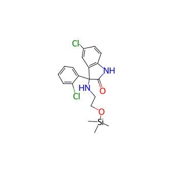 C[Si](C)(C)OCCNC1(c2ccccc2Cl)C(=O)Nc2ccc(Cl)cc21